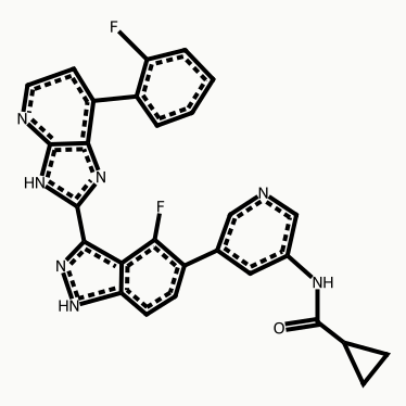 O=C(Nc1cncc(-c2ccc3[nH]nc(-c4nc5c(-c6ccccc6F)ccnc5[nH]4)c3c2F)c1)C1CC1